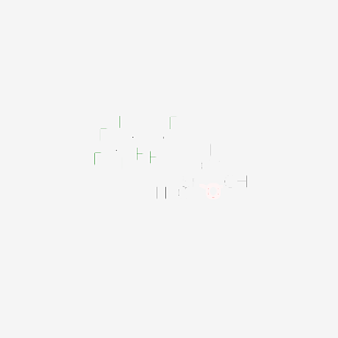 CO[Si](C)(C)CCC(F)(F)CC(F)(F)C(F)(F)F